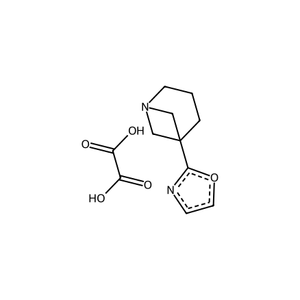 O=C(O)C(=O)O.c1coc(C23CCCN(C2)C3)n1